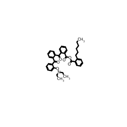 CCCCCCc1ccccc1C(=O)OC(=O)c1ccccc1C(=O)c1ccccc1C(=O)c1ccccc1ON(CC)CC